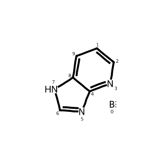 [B].c1cnc2nc[nH]c2c1